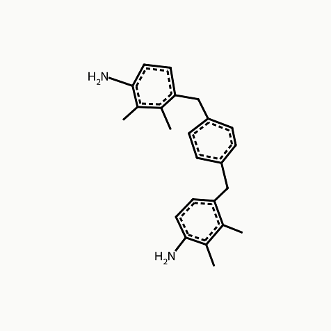 Cc1c(N)ccc(Cc2ccc(Cc3ccc(N)c(C)c3C)cc2)c1C